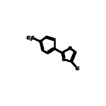 Clc1coc(-c2ccc(C(Cl)(Cl)Cl)cc2)n1